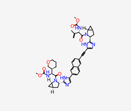 C=C(C)[C@H](NC(=O)OC)C(=O)N1[C@@H]2CC2C[C@H]1c1ncc(C#Cc2ccc3cc(-c4cnc([C@@H]5C[C@H]6C[C@H]6N5C(=O)[C@@H](NC(=O)OC)[C@@H]5CCCOC5)[nH]4)ccc3c2)[nH]1